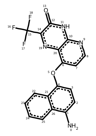 Nc1ccc(Oc2ccnc3[nH]c(=O)c(C(F)(F)F)nc23)c2ccccc12